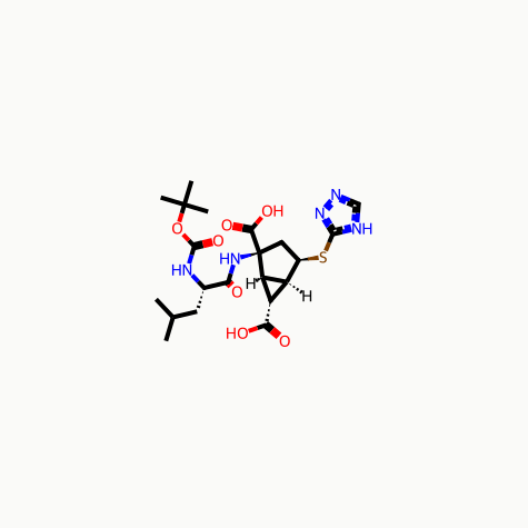 CC(C)C[C@H](NC(=O)OC(C)(C)C)C(=O)N[C@@]1(C(=O)O)C[C@@H](Sc2nnc[nH]2)[C@H]2[C@H](C(=O)O)[C@H]21